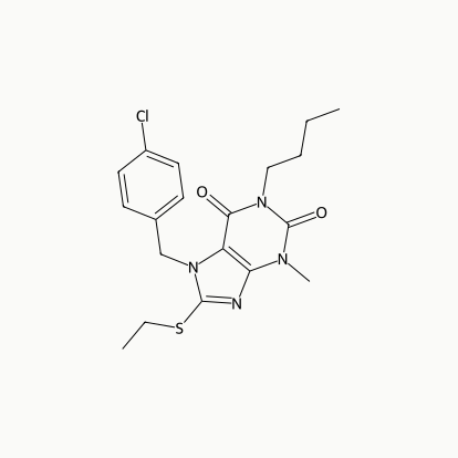 CCCCn1c(=O)c2c(nc(SCC)n2Cc2ccc(Cl)cc2)n(C)c1=O